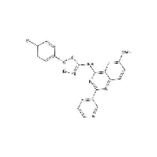 COc1ccc2nc(-c3cccnc3)nc(Nc3nnc(-c4ccc(Cl)cc4)s3)c2c1